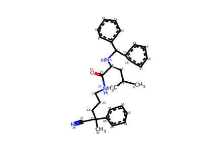 CC(C)C[C@H](NC(c1ccccc1)c1ccccc1)C(=O)NCCCC(C)(C#N)c1ccccc1